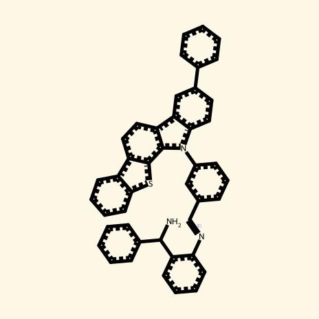 NC(c1ccccc1)c1ccccc1/N=C/c1cccc(-n2c3ccc(-c4ccccc4)cc3c3ccc4c5ccccc5sc4c32)c1